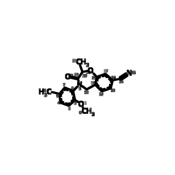 COc1ccc(C)cc1N1Cc2ccc(C#N)cc2OC(C)C1=O